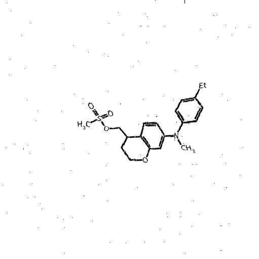 CCc1ccc(N(C)c2ccc3c(c2)OCCC3COS(C)(=O)=O)cc1